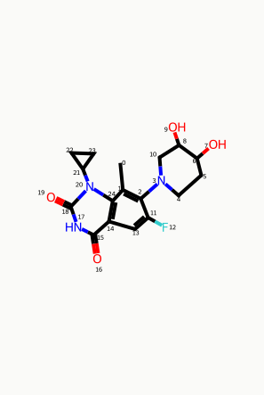 Cc1c(N2CCC(O)C(O)C2)c(F)cc2c(=O)[nH]c(=O)n(C3CC3)c12